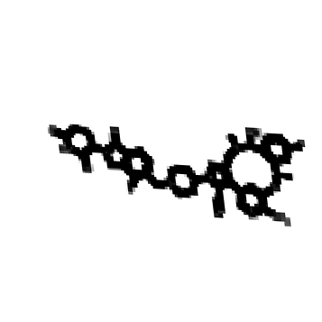 C[C@H]1Oc2cc(cnc2N)-c2c(nn(C3CCN(Cc4ccc5c(c4F)CN(C4CCC(=O)NC4=O)C5=O)CC3)c2C#N)CN(C)C(O)c2ccc(F)cc21